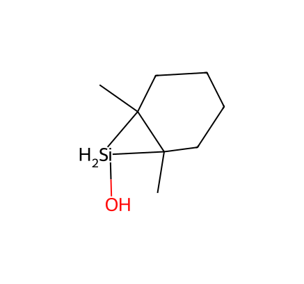 CC1(C)CCCCC1(C)[SiH2]O